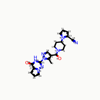 Cc1c(C(=O)N2CCC(n3cccc3C#N)CC2)cnn1-c1nn2cccc2c(=O)[nH]1